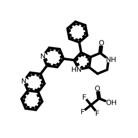 O=C(O)C(F)(F)F.O=C1NCCc2[nH]c(-c3ccnc(-c4cnc5ccccc5c4)c3)c(-c3ccccc3)c21